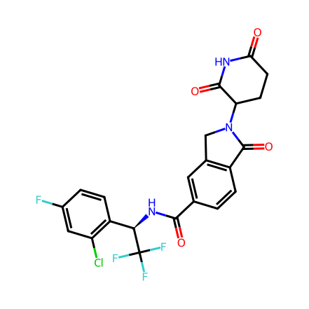 O=C1CCC(N2Cc3cc(C(=O)N[C@H](c4ccc(F)cc4Cl)C(F)(F)F)ccc3C2=O)C(=O)N1